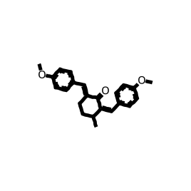 COc1ccc(C=C2CCC(C)C(=Cc3ccc(OC)cc3)C2=O)cc1